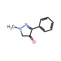 CN1CC(=O)C(c2ccccc2)=N1